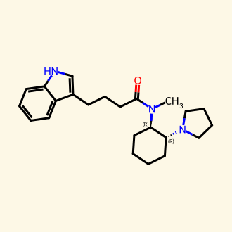 CN(C(=O)CCCc1c[nH]c2ccccc12)[C@@H]1CCCC[C@H]1N1CCCC1